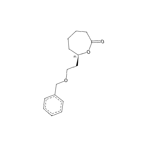 O=C1CCCC[C@H](CCOCc2ccccc2)O1